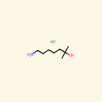 CC(C)(O)CCC[CH]CN.Cl